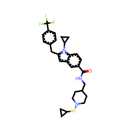 O=C(NCC1CCN(SC2CC2)CC1)c1ccc2c(c1)cc(Cc1ccc(C(F)(F)F)cc1)n2C1CC1